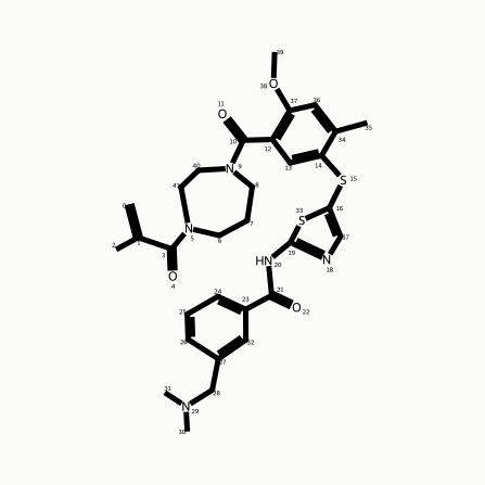 C=C(C)C(=O)N1CCCN(C(=O)c2cc(Sc3cnc(NC(=O)c4cccc(CN(C)C)c4)s3)c(C)cc2OC)CC1